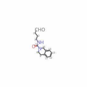 O=CCCCNC(=O)N1CCc2ccccc2C1